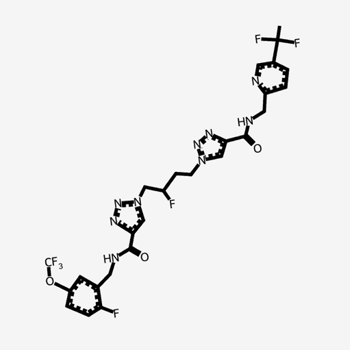 CC(F)(F)c1ccc(CNC(=O)c2cn(CCC(F)Cn3cc(C(=O)NCc4cc(OC(F)(F)F)ccc4F)nn3)nn2)nc1